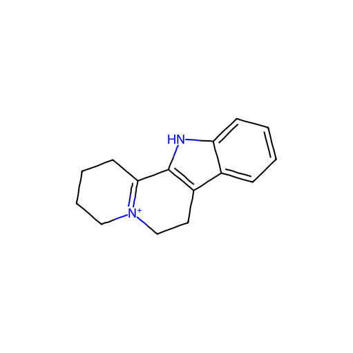 c1ccc2c3c([nH]c2c1)C1=[N+](CCCC1)CC3